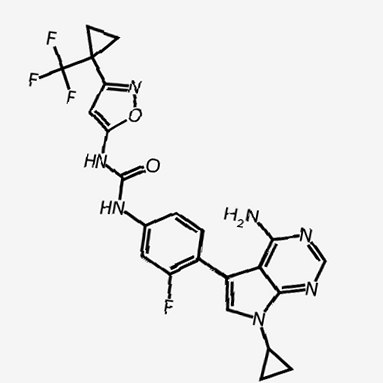 Nc1ncnc2c1c(-c1ccc(NC(=O)Nc3cc(C4(C(F)(F)F)CC4)no3)cc1F)cn2C1CC1